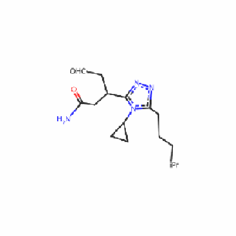 CC(C)CCCc1nnc(C(CC=O)CC(N)=O)n1C1CC1